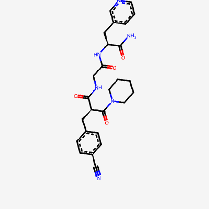 N#Cc1ccc(C[C@@H](C(=O)NCC(=O)N[C@@H](Cc2cccnc2)C(N)=O)C(=O)N2CCCCC2)cc1